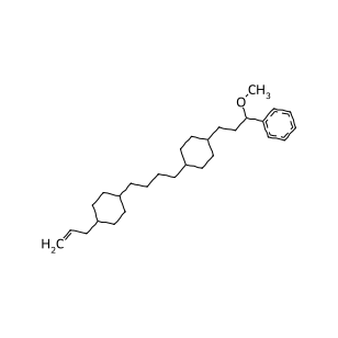 C=CCC1CCC(CCCCC2CCC(CCC(OC)c3ccccc3)CC2)CC1